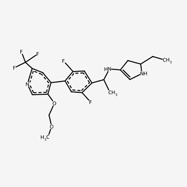 CCC1CC(NC(C)c2cc(F)c(-c3cc(C(F)(F)F)ncc3OCOC)cc2F)=CN1